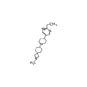 CCc1ncc(C2CCN(C3CCC4(CC3)CN(C)C4)CC2)cn1